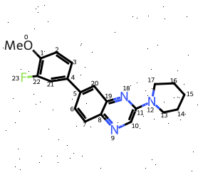 COc1ccc(-c2ccc3ncc(N4CCCCC4)nc3c2)cc1F